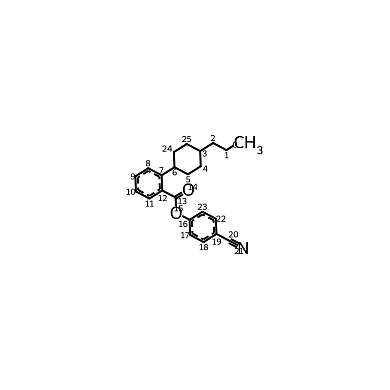 CCCC1CCC(c2ccccc2C(=O)Oc2ccc(C#N)cc2)CC1